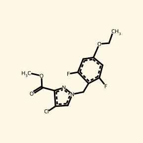 CCOc1cc(F)c(Cn2cc(Cl)c(C(=O)OC)n2)c(F)c1